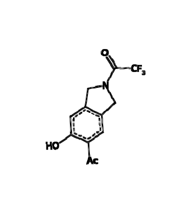 CC(=O)c1cc2c(cc1O)CN(C(=O)C(F)(F)F)C2